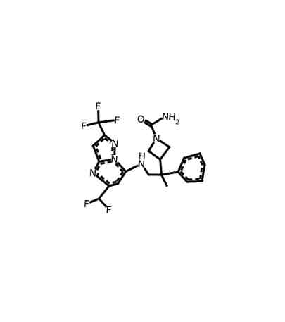 CC(CNc1cc(C(F)F)nc2cc(C(F)(F)F)nn12)(c1ccccc1)C1CN(C(N)=O)C1